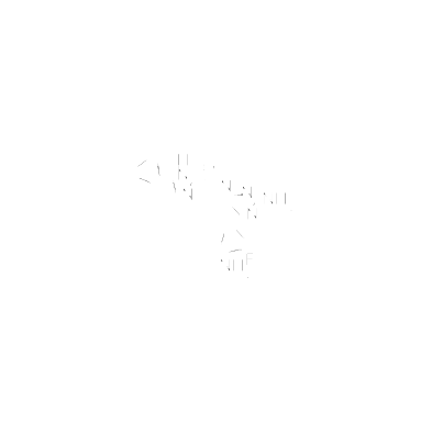 Nc1nc(-c2ccc(N)c(F)c2)cc(N2CCOC(c3ncc(-c4ccccc4)[nH]3)C2)n1